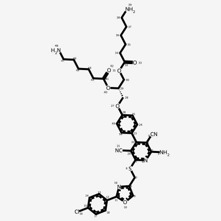 N#Cc1c(N)nc(SCc2coc(-c3ccc(Cl)cc3)n2)c(C#N)c1-c1ccc(OC[C@@H](COC(=O)CCCCCN)OC(=O)CCCCCN)cc1